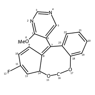 COc1ncncc1/C1=C2\C=CC(F)=CC2OCOc2ccccc21